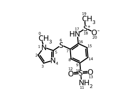 Cn1ccnc1Sc1cc(S(N)(=O)=O)ccc1N[S+](C)[O-]